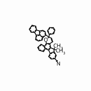 CC1(C)c2cc(C#N)ccc2-c2c1c1c(c3ccccc23)OC(c2ccccc2)(c2ccc3c4c(cccc24)-c2ccccc2-3)C=C1